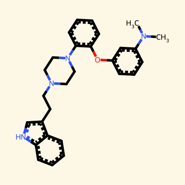 CN(C)c1cccc(Oc2ccccc2N2CCN(CCc3c[nH]c4ccccc34)CC2)c1